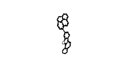 c1ccc2c(c1)ccc1c3ccc(-c4ccc5ccc6cccc7ccc4c5c67)cc3oc21